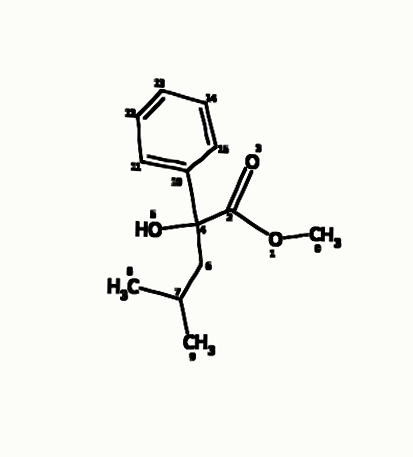 COC(=O)C(O)(CC(C)C)c1ccccc1